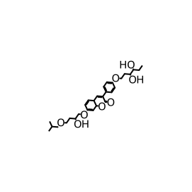 CCC(O)C(O)CCOc1ccc(C2=CC3C=CC(OCC(O)CCOCC(C)C)=CC3OC2=O)cc1